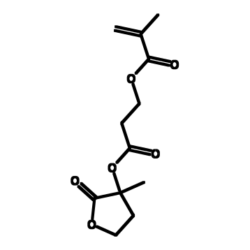 C=C(C)C(=O)OCCC(=O)OC1(C)CCOC1=O